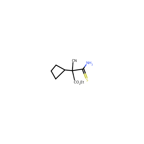 CCOC(=O)C(C#N)(C(N)=S)C1CCC1